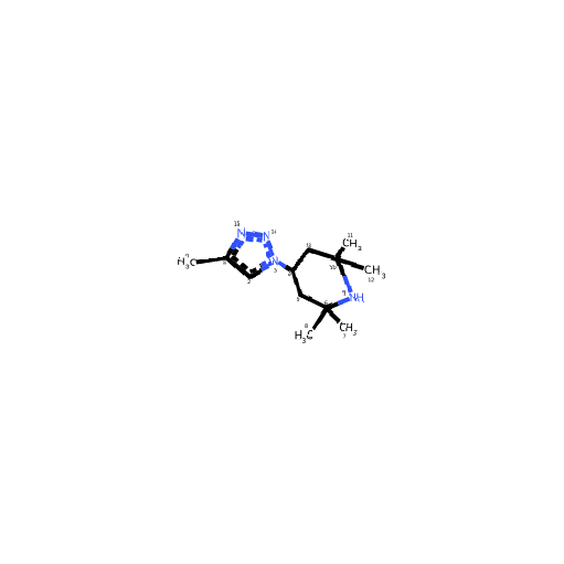 Cc1cn(C2CC(C)(C)NC(C)(C)C2)nn1